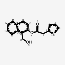 O=C(Cc1cccs1)Oc1ccc2ccccc2c1CO